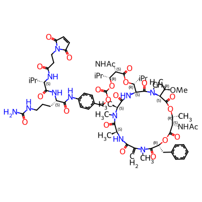 C=C1C(=O)N[C@@H](C)C(=O)N(C)[C@@H](C)C(=O)N[C@@H]([C@H](OC(=O)[C@@H](NC(C)=O)[C@H](OC(=O)OCc2ccc(NC(=O)[C@H](CCCNC(N)=O)NC(=O)[C@@H](NC(=O)CCN3C(=O)C=CC3=O)C(C)C)cc2)C(C)C)C(C)C)C(=O)N(C)[C@@H]([C@@H](C)OC)C(=O)O[C@H](C)[C@H](NC(C)=O)C(=O)O[C@H](Cc2ccccc2)C(=O)N1C